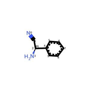 N#C[C@H](N)c1ccccc1